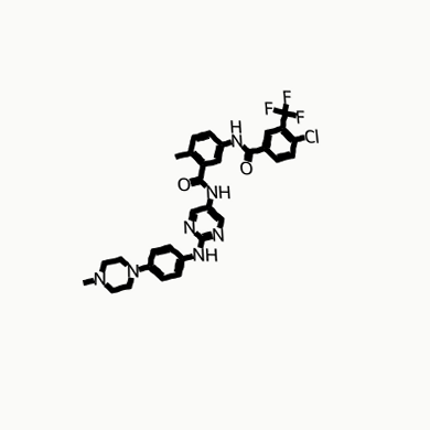 Cc1ccc(NC(=O)c2ccc(Cl)c(C(F)(F)F)c2)cc1C(=O)Nc1cnc(Nc2ccc(N3CCN(C)CC3)cc2)nc1